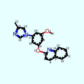 COc1cc(Oc2ccc3ccccc3n2)cc(-n2cnc(C)c2)c1